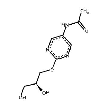 CC(=O)Nc1cnc(OC[C@@H](O)CO)nc1